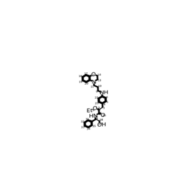 CCO[C@@H](Cc1ccc(NCCCN2CCOc3ccccc32)cc1)C(=O)N[C@@H](CO)c1ccccc1